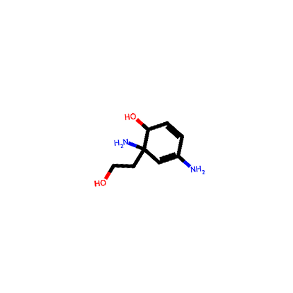 NC1=CC(N)(CCO)C(O)C=C1